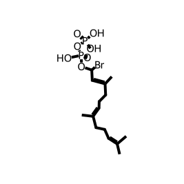 CC(C)=CCCC(C)=CCCC(C)=CC(Br)OP(=O)(O)OP(=O)(O)O